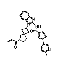 C=CC(=O)N1CC[C@]2(C1)C[C@H](n1c(NC(=O)c3ccc(-c4ccc(F)nc4)s3)nc3ccccc31)C2